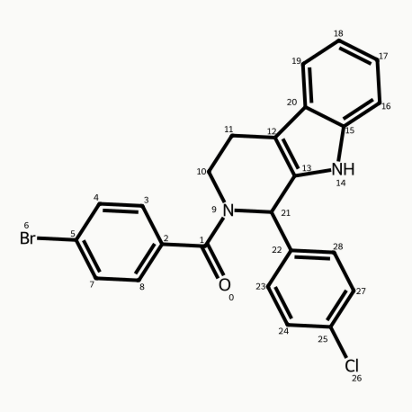 O=C(c1ccc(Br)cc1)N1CCc2c([nH]c3ccccc23)C1c1ccc(Cl)cc1